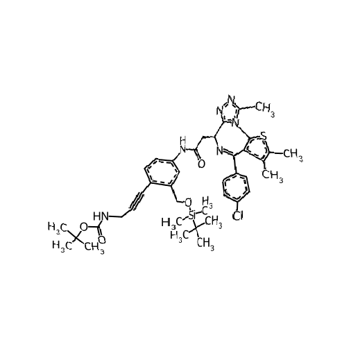 Cc1sc2c(c1C)C(c1ccc(Cl)cc1)=N[C@@H](CC(=O)Nc1ccc(C#CCNC(=O)OC(C)(C)C)c(CO[Si](C)(C)C(C)(C)C)c1)c1nnc(C)n1-2